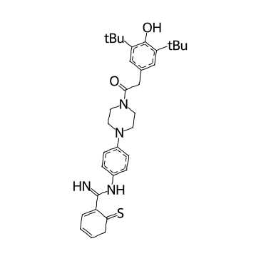 CC(C)(C)c1cc(CC(=O)N2CCN(c3ccc(NC(=N)C4=CC=CCC4=S)cc3)CC2)cc(C(C)(C)C)c1O